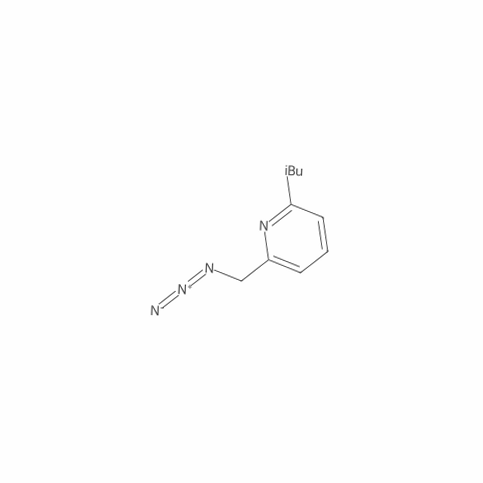 CCC(C)c1cccc(CN=[N+]=[N-])n1